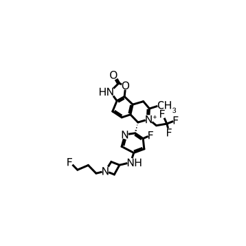 CC1=[N+](CC(F)(F)F)[C@H](c2ncc(NC3CN(CCCF)C3)cc2F)c2ccc3[nH]c(=O)oc3c2C1